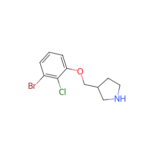 Clc1c(Br)cccc1OCC1CCNC1